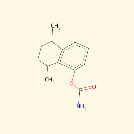 CC1CCC(C)c2c(OC(N)=O)cccc21